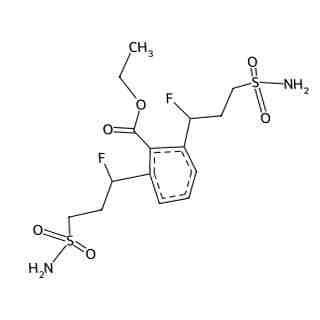 CCOC(=O)c1c(C(F)CCS(N)(=O)=O)cccc1C(F)CCS(N)(=O)=O